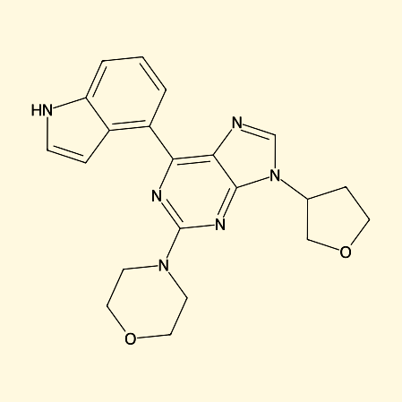 c1cc(-c2nc(N3CCOCC3)nc3c2ncn3C2CCOC2)c2cc[nH]c2c1